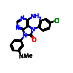 CNc1cccc(-n2c(=O)n(-c3ccc(Cl)cc3)c3c(N)ncnc32)c1